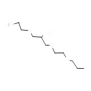 CCCOCCOCC(O)CSCCO